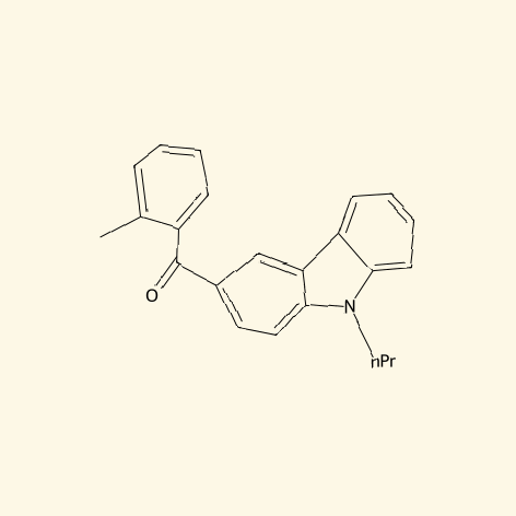 CCCn1c2ccccc2c2cc(C(=O)c3ccccc3C)ccc21